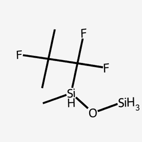 C[SiH](O[SiH3])C(F)(F)C(C)(C)F